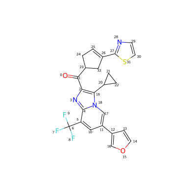 O=C(c1nc2c(C(F)(F)F)cc(-c3ccoc3)cn2c1C1CC1)C1CC=C(c2nccs2)C1